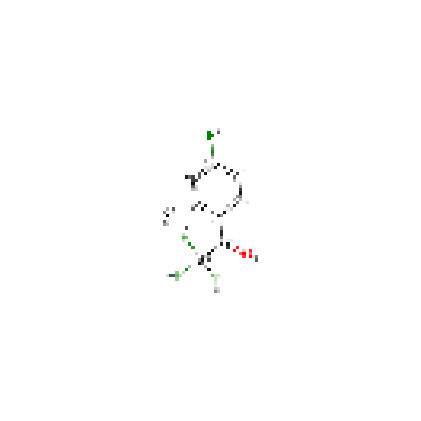 O=C(c1ccc(F)cc1)[B-](F)(F)F.[K+]